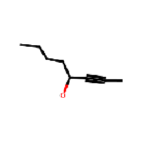 CC#CC([O])CCCC